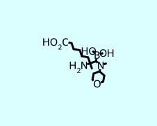 CN(C1CCOCC1)C(B(O)O)C(C)(N)CCCCCC(=O)O